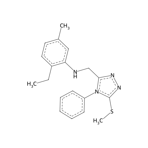 CCc1ccc(C)cc1NCc1nnc(SC)n1-c1ccccc1